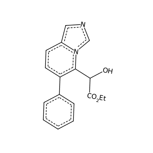 CCOC(=O)C(O)c1c(-c2ccccc2)ccc2cncn12